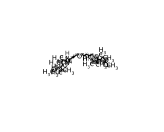 COC(=O)N[C@@H](C(=O)N(C)[C@H](C)c1ncc(C#CCOCC=Cc2cnc([C@@H](C)N(C)C(=O)[C@H](NC(=O)OC)C(C)C)[nH]2)[nH]1)C(C)C